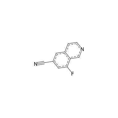 N#Cc1cc(F)c2cnccc2c1